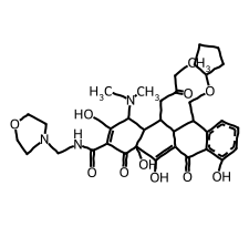 CCC(=O)CC1C2C(=C(O)C3(O)C(=O)C(C(=O)NCN4CCOCC4)=C(O)C(N(C)C)C13)C(=O)c1c(O)cccc1C2COC1CCCC1